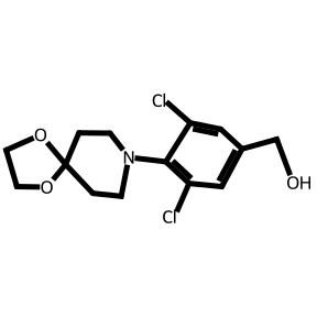 OCc1cc(Cl)c(N2CCC3(CC2)OCCO3)c(Cl)c1